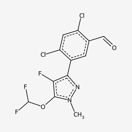 Cn1nc(-c2cc(C=O)c(Cl)cc2Cl)c(F)c1OC(F)F